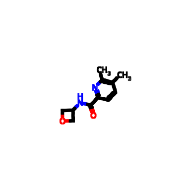 Cc1ccc(C(=O)NC2COC2)nc1C